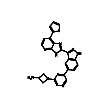 NC1CN(c2cncc(-c3ccc4[nH]nc(-c5nc6c(-c7cccs7)ccnc6[nH]5)c4c3)n2)C1